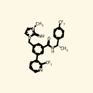 C[C@H](NC(=O)c1cc(Cn2ccn(C)c2=N)cc(-c2cccnc2C(F)(F)F)c1)c1ccc(C(F)(F)F)cc1